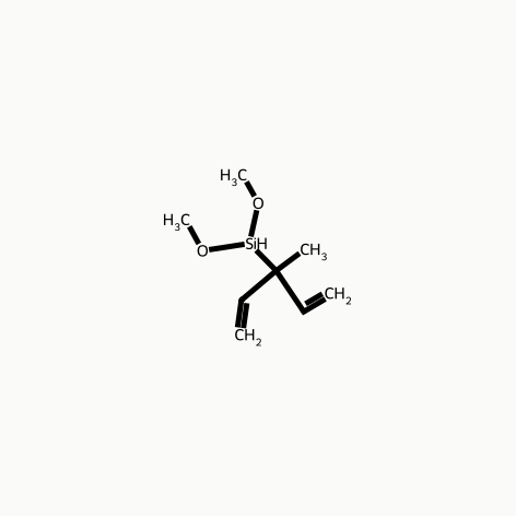 C=CC(C)(C=C)[SiH](OC)OC